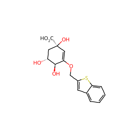 O=C(O)[C@]1(O)C=C(OCc2cc3ccccc3s2)[C@@H](O)[C@H](O)C1